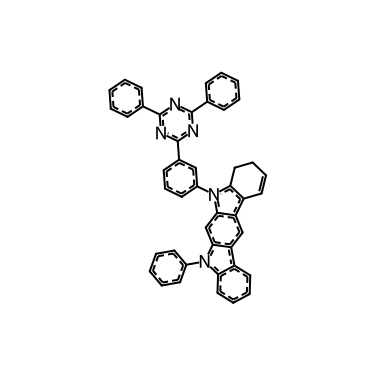 C1=Cc2c(n(-c3cccc(-c4nc(-c5ccccc5)nc(-c5ccccc5)n4)c3)c3cc4c(cc23)c2ccccc2n4-c2ccccc2)CC1